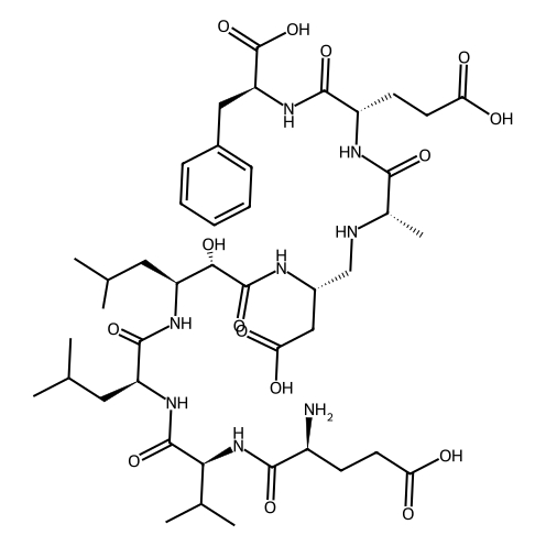 CC(C)C[C@H](NC(=O)[C@@H](NC(=O)[C@@H](N)CCC(=O)O)C(C)C)C(=O)N[C@@H](CC(C)C)[C@H](O)C(=O)N[C@H](CN[C@@H](C)C(=O)N[C@@H](CCC(=O)O)C(=O)N[C@@H](Cc1ccccc1)C(=O)O)CC(=O)O